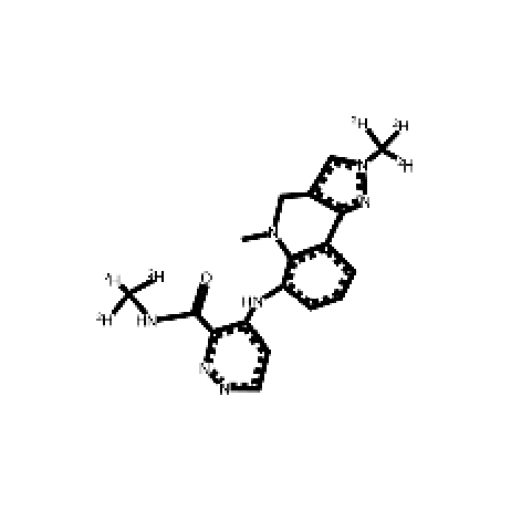 [2H]C([2H])([2H])NC(=O)c1nnccc1Nc1cccc2c1N(C)Cc1cn(C([2H])([2H])[2H])nc1-2